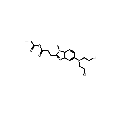 CCC(=O)OC(=O)CCc1nc2cc(N(CCCl)CCCl)ccc2n1C